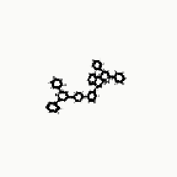 c1ccc(-c2cc(-c3ccc(-c4cccc(-c5cc6nc(-c7ccccc7)cc(-c7ccccc7)c6c6ccccc56)c4)cc3)cc(-c3ccccc3)n2)cc1